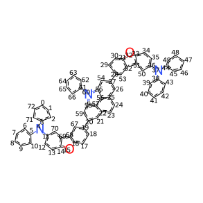 c1ccc(N(c2ccccc2)c2ccc3oc4ccc(-c5cc6ccc7cc(-c8ccc9oc%10ccc(N(c%11ccccc%11)c%11ccccc%11)cc%10c9c8)cc8c7c6c(c5)n8-c5ccccc5)cc4c3c2)cc1